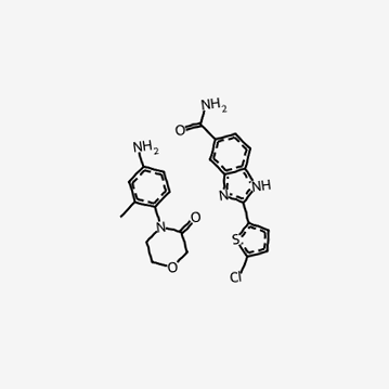 Cc1cc(N)ccc1N1CCOCC1=O.NC(=O)c1ccc2[nH]c(-c3ccc(Cl)s3)nc2c1